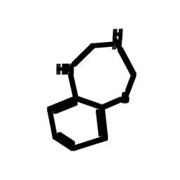 c1ccc2c(c1)NCNCS2